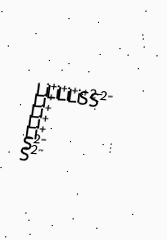 [Li+].[Li+].[Li+].[Li+].[Li+].[Li+].[Li+].[Li+].[S-2].[S-2].[S-2].[S-2]